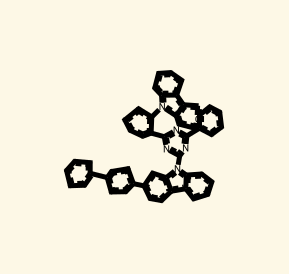 c1ccc(-c2ccc(-c3ccc4c5ccccc5n(-c5nc(-c6ccccc6)nc(-c6ccccc6-n6c7ccccc7c7ccccc76)n5)c4c3)cc2)cc1